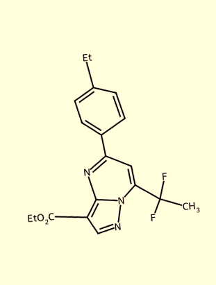 CCOC(=O)c1cnn2c(C(C)(F)F)cc(-c3ccc(CC)cc3)nc12